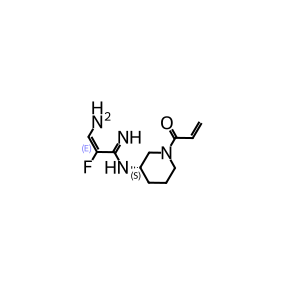 C=CC(=O)N1CCC[C@H](NC(=N)/C(F)=C\N)C1